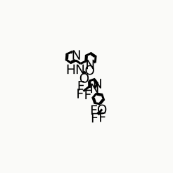 O=C(NC(c1ccccn1)c1ccccn1)Oc1cnn(-c2ccc(OC(F)(F)F)cc2)c1C(F)(F)F